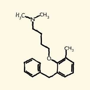 Cc1cccc(Cc2ccccc2)c1OCCCCN(C)C